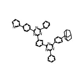 c1ccc(-c2nc(-c3ccc(-c4cccnc4)cc3)nc(-c3cccc(-c4nc(-c5ccccc5)nc(-c5ccc(C67CC8CC(CC(C8)C6)C7)cc5)n4)c3)n2)cc1